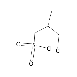 CC(CCl)CS(=O)(=O)Cl